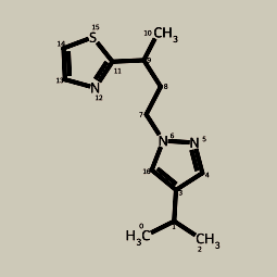 CC(C)c1cnn(CCC(C)c2nccs2)c1